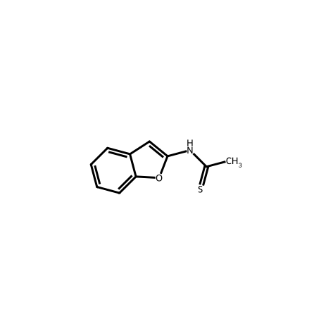 CC(=S)Nc1cc2ccccc2o1